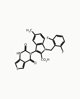 Cc1ccc2c(c1)c(-n1c(=O)[nH]c3cscc3c1=O)c(C(=O)O)n2Cc1c(F)cccc1F